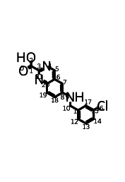 O=C(O)c1ncc2cc(NCc3cccc(Cl)c3)ccc2n1